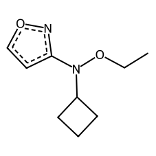 CCON(c1ccon1)C1CCC1